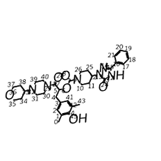 Cc1cc(CC(OC(=O)N2CCC(n3nc(-c4ccccc4)[nH]c3=O)CC2)C(=O)N2CCN(C3CCOCC3)CC2)cc(C)c1O